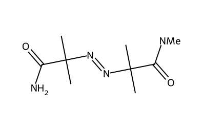 CNC(=O)C(C)(C)N=NC(C)(C)C(N)=O